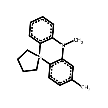 Cc1ccc2c(c1)N(C)c1ccccc1[Si]21CCCC1